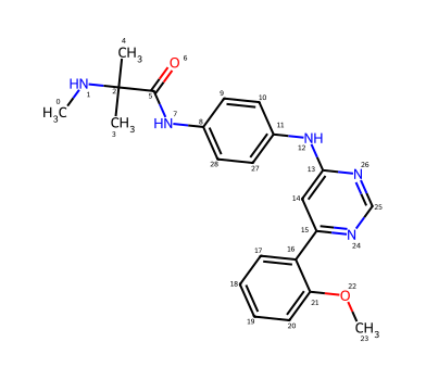 CNC(C)(C)C(=O)Nc1ccc(Nc2cc(-c3ccccc3OC)ncn2)cc1